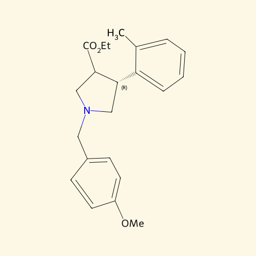 CCOC(=O)C1CN(Cc2ccc(OC)cc2)C[C@H]1c1ccccc1C